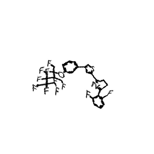 FCC(F)(CF)C(F)(CF)C(F)(CF)C(F)(CF)Oc1cccc(-c2csc(C3CCC(c4c(F)cccc4F)=N3)c2)c1